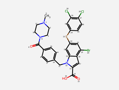 CN1CCN(C(=O)c2ccc(Cn3c(C(=O)O)cc4c(Br)cc(Sc5ccc(Cl)c(Cl)c5)cc43)cc2)CC1